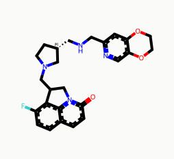 O=c1ccc2ccc(F)c3c2n1CC3CN1CC[C@H](CNCc2cc3c(cn2)OCCO3)C1